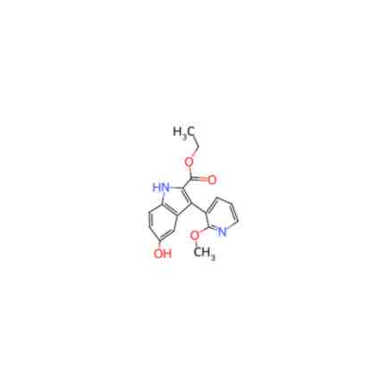 CCOC(=O)c1[nH]c2ccc(O)cc2c1-c1cccnc1OC